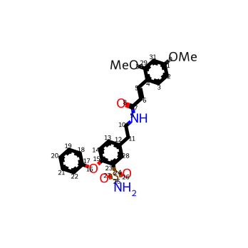 COc1ccc(/C=C/C(=O)NCCc2ccc(Oc3ccccc3)c(S(N)(=O)=O)c2)c(OC)c1